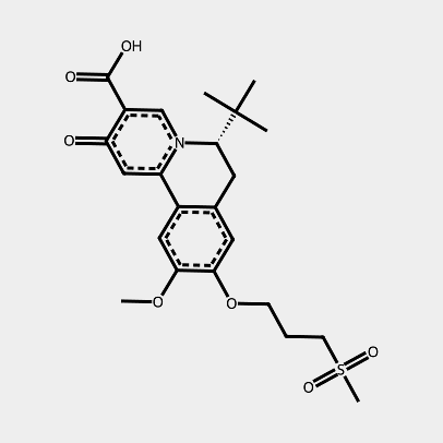 COc1cc2c(cc1OCCCS(C)(=O)=O)C[C@@H](C(C)(C)C)n1cc(C(=O)O)c(=O)cc1-2